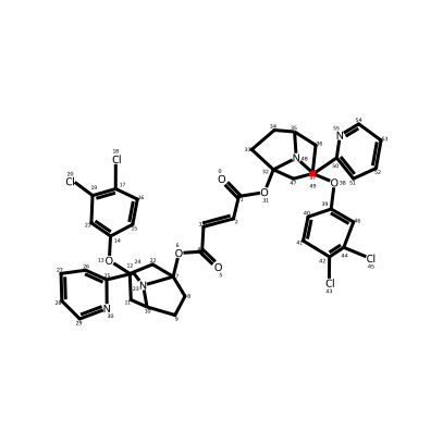 O=C(/C=C/C(=O)OC12CCC(CC(Oc3ccc(Cl)c(Cl)c3)C1)N2Cc1ccccn1)OC12CCC(CC(Oc3ccc(Cl)c(Cl)c3)C1)N2Cc1ccccn1